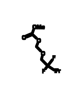 COC(=O)OCOCC(F)(F)C(C)C